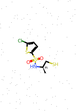 C[C@H](CS)NS(=O)(=O)c1ccc(Cl)s1